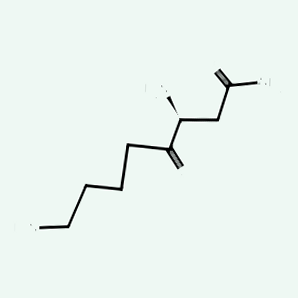 NCCCCC(=O)[C@@H](N)CC(N)=O